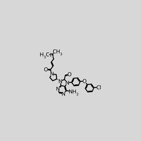 CN(C)C/C=C/C(=O)N1CC[C@@H](N2c3ncnc(N)c3N(c3ccc(Oc4cccc(Cl)c4)cc3)C2C=O)C1